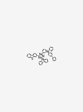 c1ccc(-c2ccc3c(c2)c2ccccc2n3-c2cccc(-c3nc(-c4ccc5c(c4)sc4ccccc45)nc(-n4c5ccccc5c5ccccc54)n3)c2)cc1